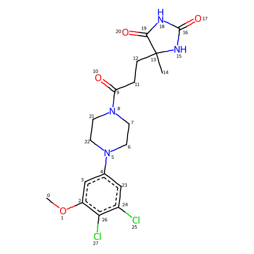 COc1cc(N2CCN(C(=O)CCC3(C)NC(=O)NC3=O)CC2)cc(Cl)c1Cl